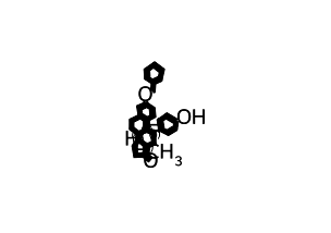 C[C@]12C[C@H](c3ccc(O)cc3)[C@@H]3c4ccc(OCc5ccccc5)cc4CC[C@H]3[C@@H]1CCC2=O